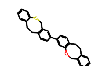 c1ccc2c(c1)CCc1ccc(-c3ccc4c(c3)CSc3ccccc3CC4)cc1OC2